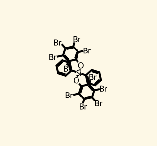 Brc1c(Br)c(Br)c(O[Si](Oc2c(Br)c(Br)c(Br)c(Br)c2Br)(c2ccccc2)c2ccccc2)c(Br)c1Br